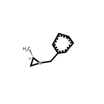 C[C@H]1CN1Cc1ccccc1